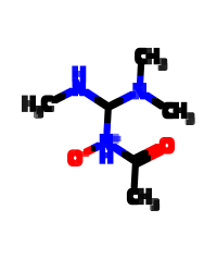 CNC(N(C)C)[NH+]([O-])C(C)=O